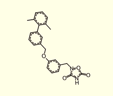 Cc1cccc(C)c1-c1cccc(COc2cccc(Cn3oc(=O)[nH]c3=O)c2)c1